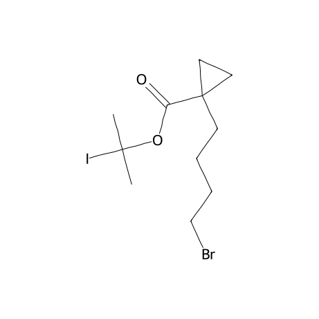 CC(C)(I)OC(=O)C1(CCCCBr)CC1